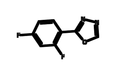 Fc1ccc(-c2nnco2)c(F)c1